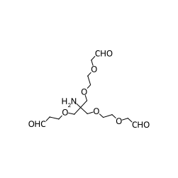 NC(COCCC=O)(COCCOCC=O)COCCOCC=O